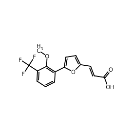 COc1c(-c2ccc(C=CC(=O)O)o2)cccc1C(F)(F)F